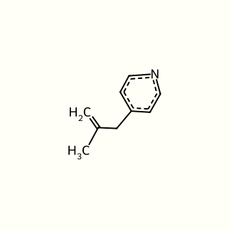 C=C(C)Cc1ccncc1